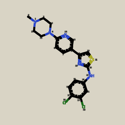 CN1CCN(c2ccc(-c3csc(Nc4ccc(Cl)c(Cl)c4)n3)cn2)CC1